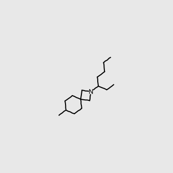 CCCCC(CC)N1CC2(CCC(C)CC2)C1